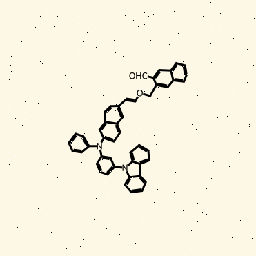 O=Cc1cc2ccccc2cc1COC=Cc1ccc2cc(N(c3ccccc3)c3cccc(-n4c5ccccc5c5ccccc54)c3)ccc2c1